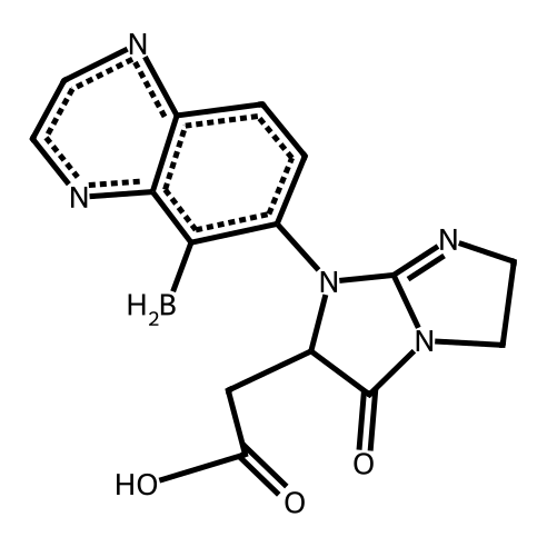 Bc1c(N2C3=NCCN3C(=O)C2CC(=O)O)ccc2nccnc12